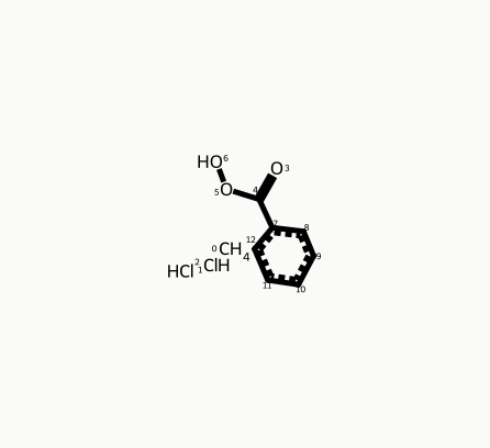 C.Cl.Cl.O=C(OO)c1ccccc1